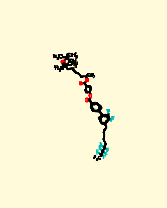 C[C@H](CCCCC[Si](C)(C)O[Si](C)(C)C)OC(=O)c1ccc(OC(=O)c2ccc(-c3ccc(CCCCCC(F)(F)C(F)(F)C(F)(F)C(F)(F)F)c(F)c3F)cc2)cc1